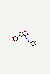 O=C1NC(=O)c2ccc(-c3ccc4c(c3)OCO4)cc2C1=CNCc1ccc(O)c(O)c1